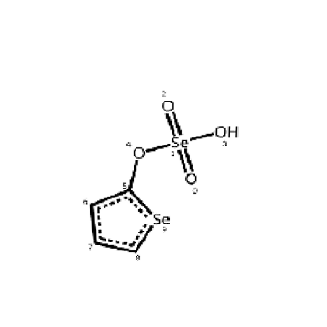 O=[Se](=O)(O)Oc1ccc[se]1